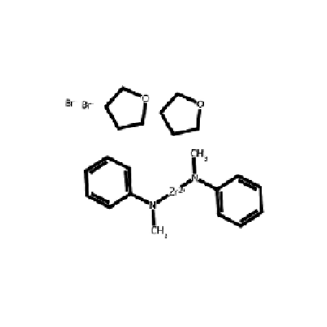 C1CCOC1.C1CCOC1.C[N]([Zr+2][N](C)c1ccccc1)c1ccccc1.[Br-].[Br-]